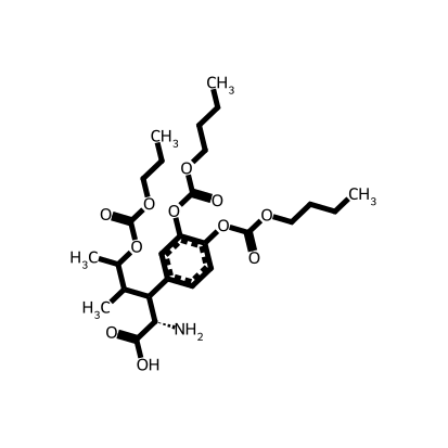 CCCCOC(=O)Oc1ccc(C(C(C)C(C)OC(=O)OCCC)[C@H](N)C(=O)O)cc1OC(=O)OCCCC